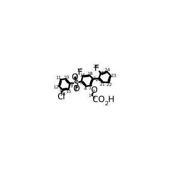 O=C(O)COc1cc(S(=O)(=O)c2cccc(Cl)c2)c(F)cc1-c1ccccc1F